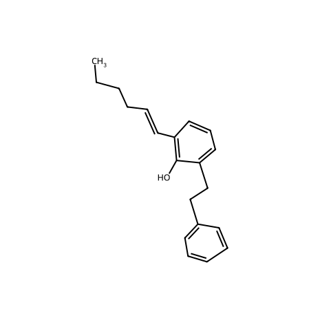 CCCCC=Cc1cccc(CCc2ccccc2)c1O